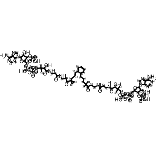 CC(C)(CCCc1ccccc1CCCC1(C(=O)CCNC(=O)CCNC(=O)C(O)C(C)(C)COP(=O)(O)OP(=O)(O)OCC2OC(n3cnc4c(N)ncnc43)C(O)C2OP(=O)(O)O)CC1)C(=O)CCNC(=O)CCNC(=O)C(O)C(C)(C)COP(=O)(O)OP(=O)(O)OCC1OC(n2cnc3c(N)ncnc32)C(O)C1OP(=O)(O)O